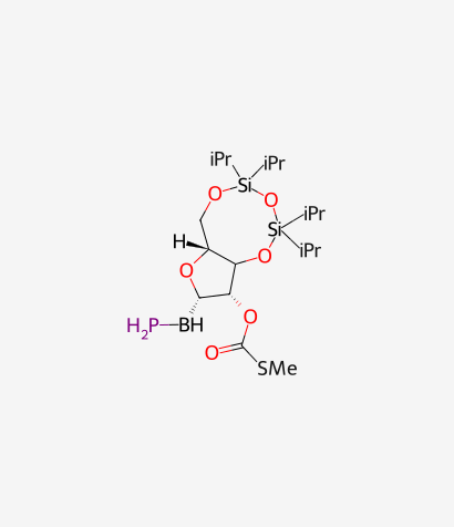 CSC(=O)O[C@H]1C2O[Si](C(C)C)(C(C)C)O[Si](C(C)C)(C(C)C)OC[C@H]2O[C@H]1BP